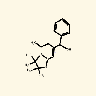 CCC/C(=C\B1OC(C)(C)C(C)(C)O1)C(O)c1ccccc1